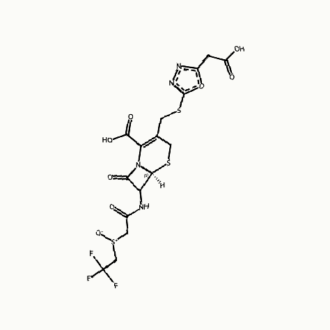 O=C(O)Cc1nnc(SCC2=C(C(=O)O)N3C(=O)C(NC(=O)C[S+]([O-])CC(F)(F)F)[C@@H]3SC2)o1